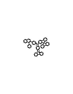 c1ccc(-c2c(-c3ccc(N(c4ccc(-n5c6ccccc6c6ccccc65)cc4)c4ccc5c(c4)C4(c6ccccc6-c6ccccc64)c4ccccc4-5)cc3)ccc3ccccc23)cc1